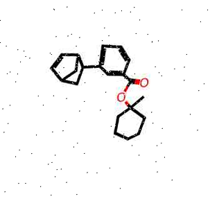 CC1(OC(=O)c2cccc(C3CC4C=CC3C4)c2)CCCCC1